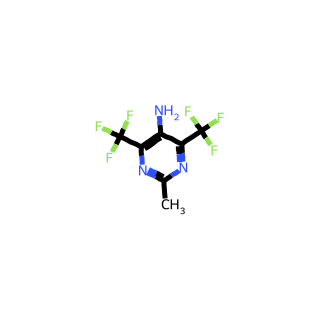 Cc1nc(C(F)(F)F)c(N)c(C(F)(F)F)n1